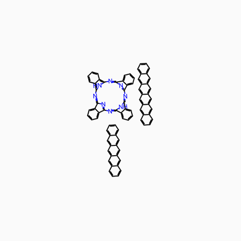 c1ccc2c(c1)-c1nc-2nc2[nH]c(nc3nc(nc4[nH]c(n1)c1ccccc41)-c1ccccc1-3)c1ccccc21.c1ccc2cc3cc4cc5cc6ccccc6cc5cc4cc3cc2c1.c1ccc2cc3cc4cc5ccccc5cc4cc3cc2c1